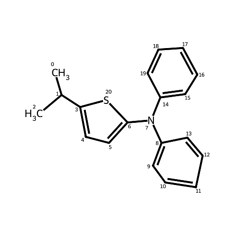 CC(C)c1ccc(N(c2ccccc2)c2ccccc2)s1